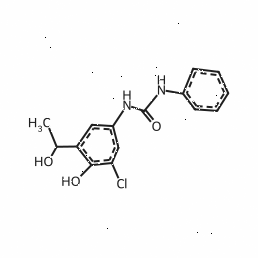 CC(O)c1cc(NC(=O)Nc2ccccc2)cc(Cl)c1O